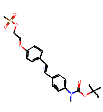 CN(C(=O)OC(C)(C)C)c1ccc(/C=C/c2ccc(OCCOS(C)(=O)=O)cc2)cc1